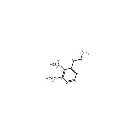 NCCc1cccc(C(=O)O)c1C(=O)O